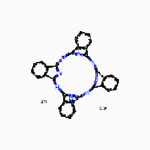 [Co].[Zn].c1ccc2c(c1)-c1nc-2nc2[nH]c(nc3nc(nc4[nH]c(n1)c1ccccc41)-c1ccccc1-3)c1ccccc21